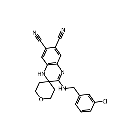 N#Cc1cc2c(cc1C#N)NC1(CCOCC1)C(NCc1cccc(Cl)c1)=N2